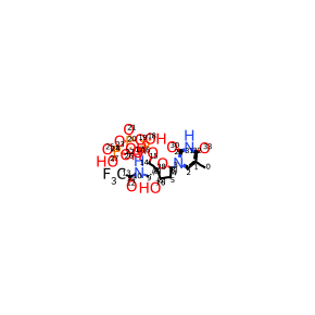 Cc1cn([C@H]2C[C@H](O)[C@@](CNC(=O)C(F)(F)F)(COP(=O)(O)OP(=O)(O)OP(=O)(O)O)O2)c(=O)[nH]c1=O